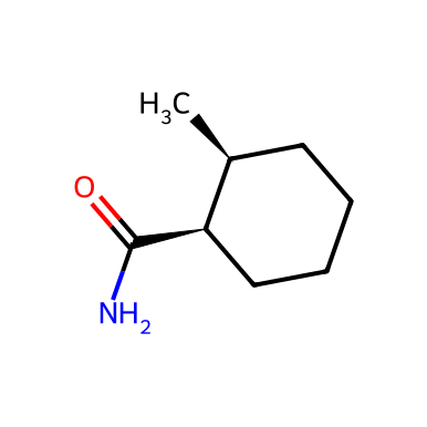 C[C@H]1CCCC[C@H]1C(N)=O